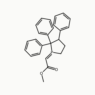 COC(=O)C=[P]1CCC(c2ccccc2)C1(c1ccccc1)c1ccccc1